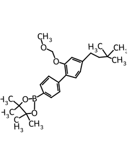 COCOc1cc(CCC(C)(C)C)ccc1-c1ccc(B2OC(C)(C)C(C)(C)O2)cc1